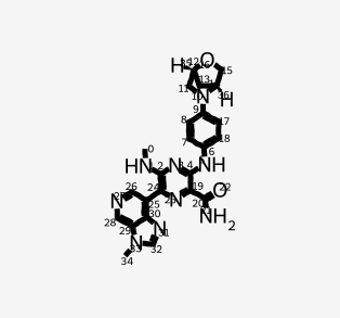 CNc1nc(Nc2ccc(N3C[C@H]4C[C@@H]3CO4)cc2)c(C(N)=O)nc1-c1cncc2c1ncn2C